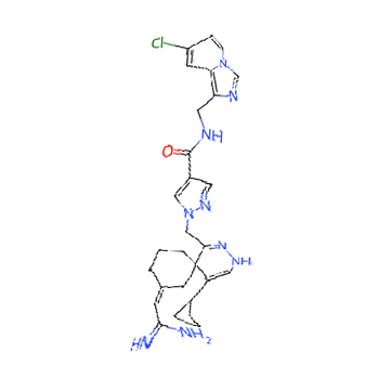 N=C(N)/C=C1/CCCC2(C1)C(C1CC1)=CNN=C2Cn1cc(C(=O)NCc2ncn3ccc(Cl)cc23)cn1